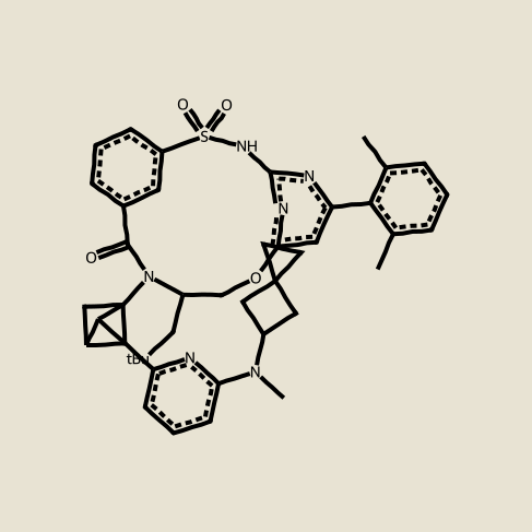 Cc1cccc(C)c1-c1cc2nc(n1)NS(=O)(=O)c1cccc(c1)C(=O)N(C13CC(C1)C3c1cccc(N(C)C3CC4(CC4)C3)n1)C(CC(C)(C)C)CO2